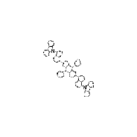 c1ccc(-c2c3ccc(-c4cccc5c(-n6c7ccccc7c7ccccc76)cccc45)cc3c(-c3ccccc3)c3ccc(-c4cccc5c(-n6c7ccccc7c7ccccc76)cccc45)cc23)cc1